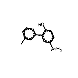 Cc1cccc(-c2cc([AsH2])ccc2O)c1